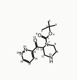 CC(C)(C)OC(=O)N1CCNCC1C(=O)c1cccnn1